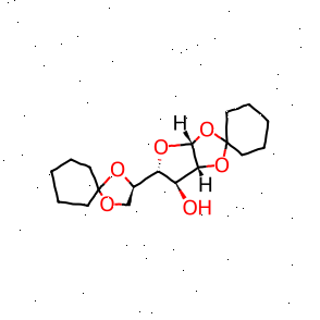 O[C@H]1[C@H]([C@H]2COC3(CCCCC3)O2)O[C@@H]2OC3(CCCCC3)O[C@@H]21